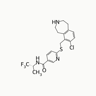 C[C@@H](NC(=O)c1ccc(SCc2c(Cl)ccc3c2CCNCC3)nc1)C(F)(F)F